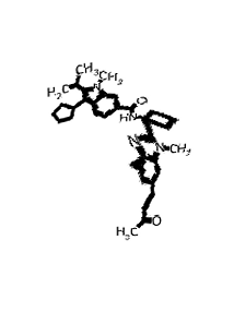 C=C(C)c1c(C2CCCC2)c2ccc(C(=O)NC3(c4nc5ccc(/C=C/C(C)=O)cc5n4C)CCC3)cc2n1C